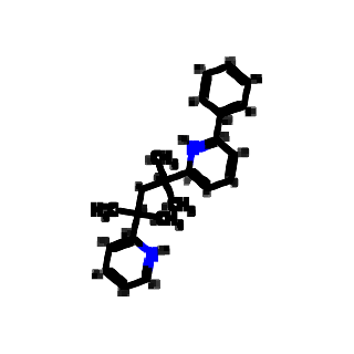 CC(C)(CC(C)(C)c1cccc(-c2ccccc2)n1)c1ccccn1